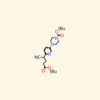 CC(C)(C)OC(=O)CCC(C#N)c1ccc(N2CCN(C(=O)OC(C)(C)C)CC2)cn1